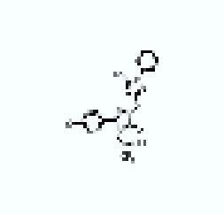 O=c1n(Cc2nc(Br)n(-c3ccccn3)n2)nc(-c2ccc(Cl)cc2)n1CC(O)C(F)(F)F